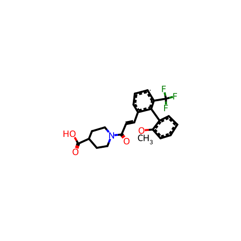 COc1ccccc1-c1c(C(F)(F)F)[c]ccc1/C=C/C(=O)N1CCC(C(=O)O)CC1